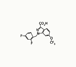 O=C(O)c1nn(Cc2ccc(F)cc2F)c2cc(OC(F)(F)F)ccc12